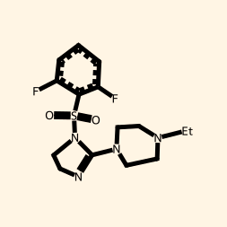 CCN1CCN(C2=NCCN2S(=O)(=O)c2c(F)cccc2F)CC1